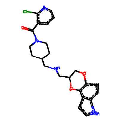 O=C(c1cccnc1Cl)N1CCC(CNCC2COc3ccc4[nH]ccc4c3O2)CC1